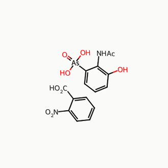 CC(=O)Nc1c(O)cccc1[As](=O)(O)O.O=C(O)c1ccccc1[N+](=O)[O-]